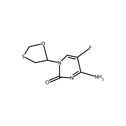 Nc1nc(=O)n(C2CSCO2)cc1F